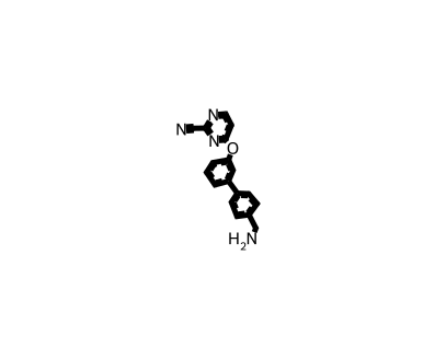 N#Cc1nccc(Oc2cccc(-c3ccc(CN)cc3)c2)n1